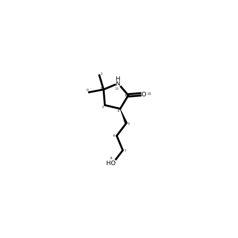 CC1(C)C[C@H](CCCO)C(=O)N1